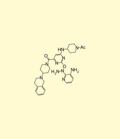 CC(=O)N1CCC(Nc2cc(C(=O)N3CCC(N4CCc5ccccc5C4)CC3)nc(ON(N)c3ncccc3N)n2)CC1